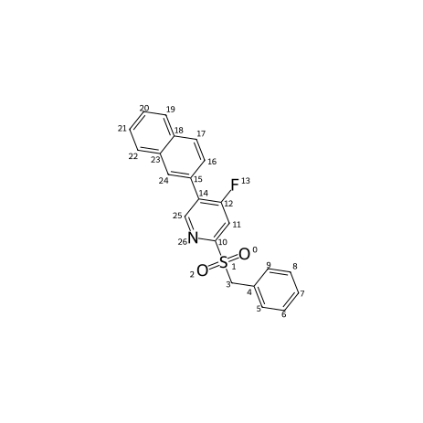 O=S(=O)(Cc1ccccc1)c1cc(F)c(-c2ccc3ccccc3c2)cn1